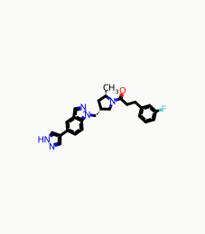 C[C@H]1C[C@@H](Cn2ncc3cc(-c4cn[nH]c4)ccc32)CN1C(=O)CCc1cccc(F)c1